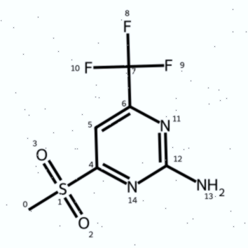 CS(=O)(=O)c1cc(C(F)(F)F)nc(N)n1